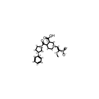 CSC(=CN1CCC(C(=O)N2CC[C@H](c3ccccc3)C2)C(C(=O)O)C1)[N+](=O)[O-]